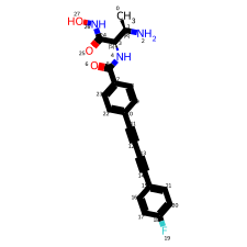 C[C@@H](N)[C@H](NC(=O)c1ccc(C#CC#Cc2ccc(F)cc2)cc1)C(=O)NO